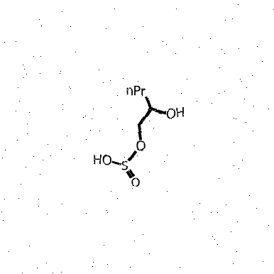 CCCC(O)COS(=O)O